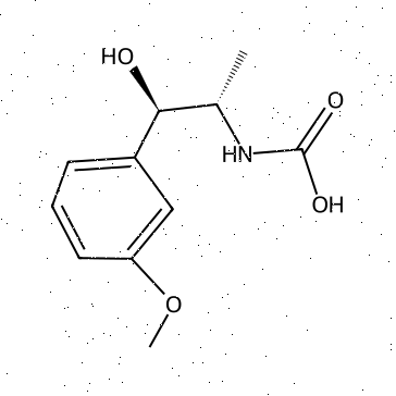 COc1cccc([C@@H](O)[C@H](C)NC(=O)O)c1